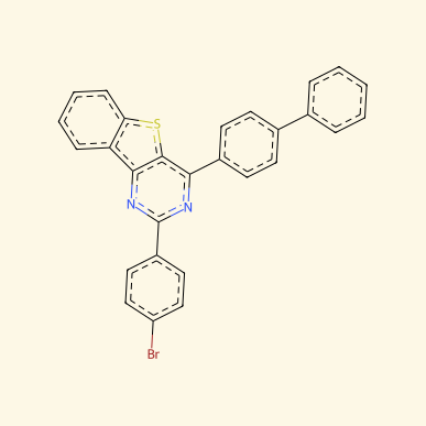 Brc1ccc(-c2nc(-c3ccc(-c4ccccc4)cc3)c3sc4ccccc4c3n2)cc1